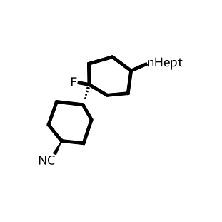 CCCCCCCC1CCC(F)([C@H]2CC[C@H](C#N)CC2)CC1